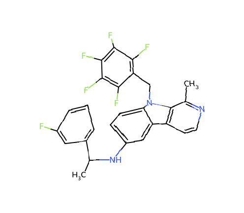 Cc1nccc2c3cc(NC(C)c4cccc(F)c4)ccc3n(Cc3c(F)c(F)c(F)c(F)c3F)c12